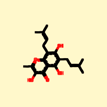 CC(C)=CCc1c(O)c(CC=C(C)C)c2oc(C)c(O)c(=O)c2c1O